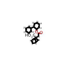 O=C(CC1(C(=O)O)CC2C=CC1C2)Oc1ccccc1-c1ccccc1